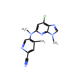 Cc1cc(C#N)ncc1N(C)c1cc(Cl)c2ncn(C)c2n1